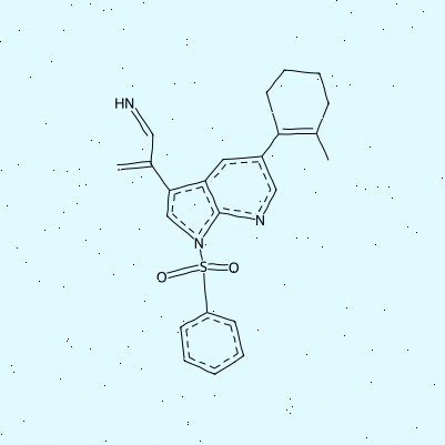 C=C(C=N)c1cn(S(=O)(=O)c2ccccc2)c2ncc(C3=C(C)CCCC3)cc12